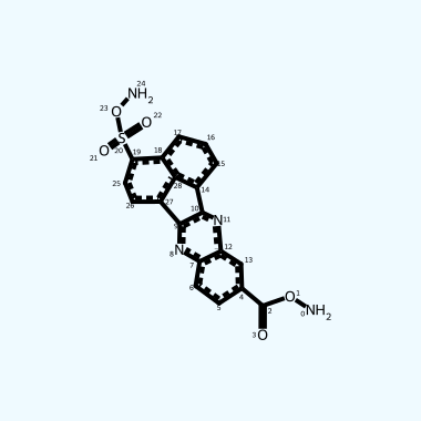 NOC(=O)c1ccc2nc3c(nc2c1)-c1cccc2c(S(=O)(=O)ON)ccc-3c12